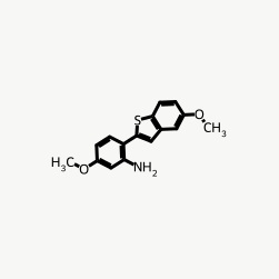 COc1ccc(-c2cc3cc(OC)ccc3s2)c(N)c1